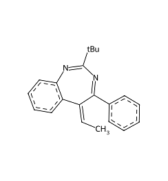 CC=C1C(c2ccccc2)=NC(C(C)(C)C)=Nc2ccccc21